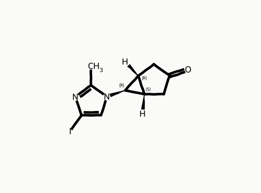 Cc1nc(I)cn1[C@H]1[C@@H]2CC(=O)C[C@@H]21